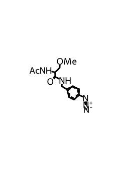 COCC(NC(C)=O)C(=O)NCc1ccc(N=[N+]=[N-])cc1